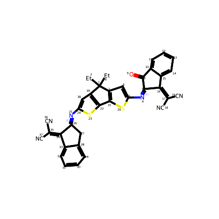 CCC1(CC)c2cc(/N=C3\C(=O)c4ccccc4C3=C(C#N)C#N)sc2-c2sc(/N=C3\Cc4ccccc4C3=C(C#N)C#N)cc21